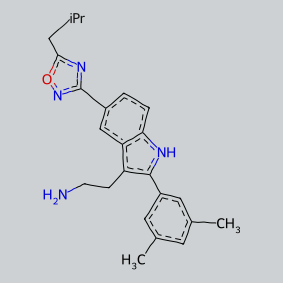 Cc1cc(C)cc(-c2[nH]c3ccc(-c4noc(CC(C)C)n4)cc3c2CCN)c1